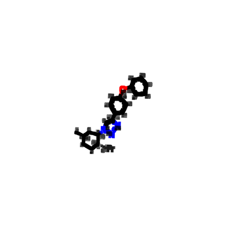 CC(C)[C@@H]1CC[C@@H](C)C[C@H]1n1cc(-c2ccc(Oc3ccccc3)cc2)nn1